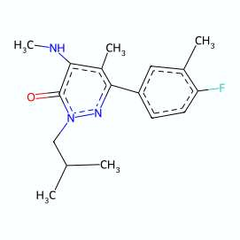 CNc1c(C)c(-c2ccc(F)c(C)c2)nn(CC(C)C)c1=O